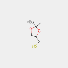 CCCCC1(C)OCC(CS)O1